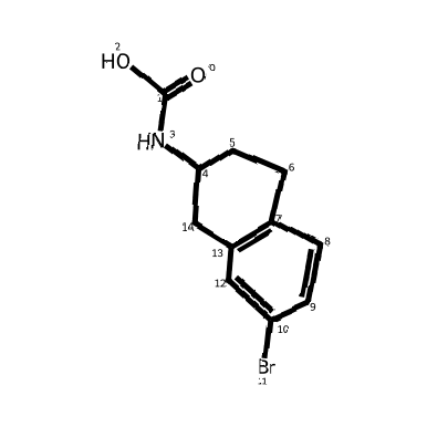 O=C(O)NC1CCc2ccc(Br)cc2C1